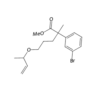 C=CC(C)OCCCC(C)(C(=O)OC)c1cccc(Br)c1